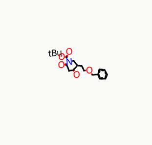 CC(C)(C)OC(=O)N1CC(CCOCc2ccccc2)C(=O)CC1=O